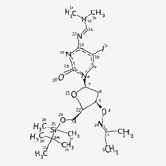 CC(C)=NO[C@@H]1C[C@H](n2cc(I)c(/N=C/N(C)C)nc2=O)O[C@@H]1CO[Si](C)(C)C(C)(C)C